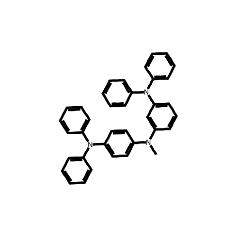 CN(c1ccc(N(c2ccccc2)c2ccccc2)cc1)c1cccc(N(c2ccccc2)c2ccccc2)c1